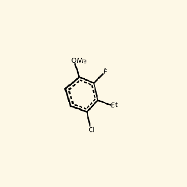 CCc1c(Cl)ccc(OC)c1F